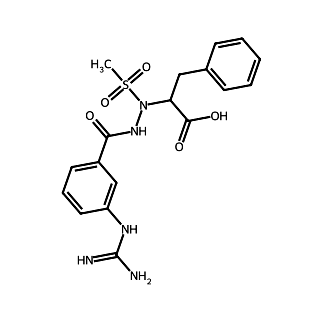 CS(=O)(=O)N(NC(=O)c1cccc(NC(=N)N)c1)C(Cc1ccccc1)C(=O)O